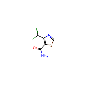 NC(=O)c1scnc1C(F)F